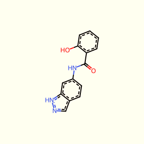 O=C(Nc1ccc2cn[nH]c2c1)c1ccccc1O